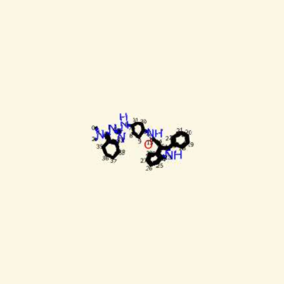 CN(C)c1nc(NC2CCC(NC(=O)Cc3c(-c4ccccc4)[nH]c4ccccc34)CC2)nc2c1CCCC2